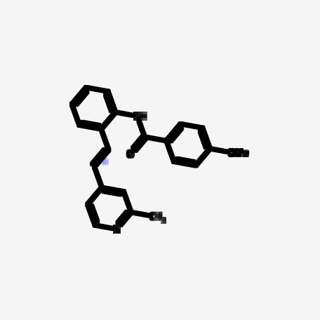 COc1ccc(C(=O)Nc2ccccc2/C=C/c2ccnc(C)c2)cc1